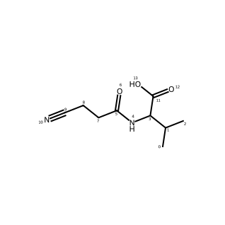 CC(C)C(NC(=O)CCC#N)C(=O)O